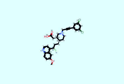 COc1ccc2nccc([C@H](F)CC[C@@H]3CCN(CC#Cc4cc(Cl)cc(Cl)c4)C[C@@H]3CC(=O)O)c2c1